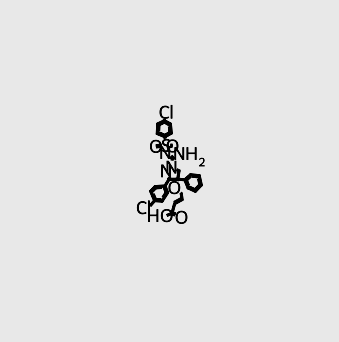 N/C(=N\S(=O)(=O)c1ccc(Cl)cc1)N1CC(OC/C=C/C(=O)O)(c2ccccc2)C(c2ccc(Cl)cc2)=N1